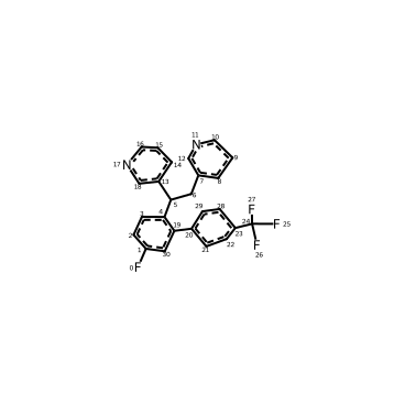 Fc1ccc(C(Cc2cccnc2)c2cccnc2)c(-c2ccc(C(F)(F)F)cc2)c1